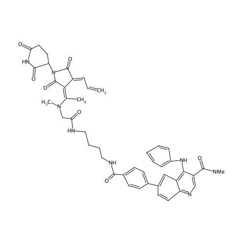 C=C/C=C1/C(=O)N(C2CCC(=O)NC2=O)C(=O)/C1=C(/C)N(C)CC(=O)NCCCCNC(=O)c1ccc(-c2ccc3ncc(C(=O)NC)c(Nc4ccccc4)c3c2)cc1